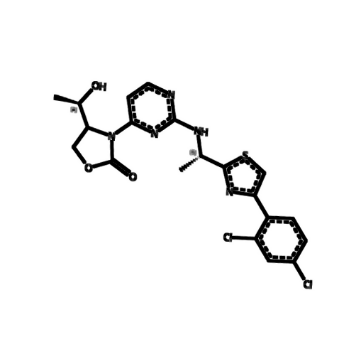 C[C@H](Nc1nccc(N2C(=O)OCC2[C@@H](C)O)n1)c1nc(-c2ccc(Cl)cc2Cl)cs1